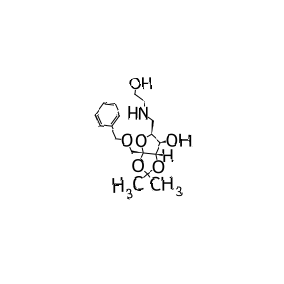 CC1(C)O[C@H]2[C@H](O)[C@H](CNCCO)O[C@@]2(COCc2ccccc2)O1